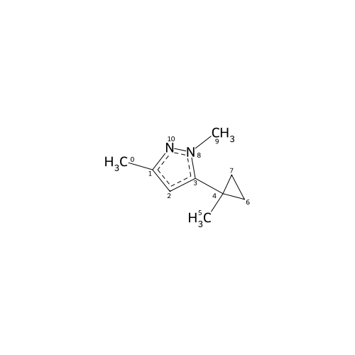 Cc1cc(C2(C)CC2)n(C)n1